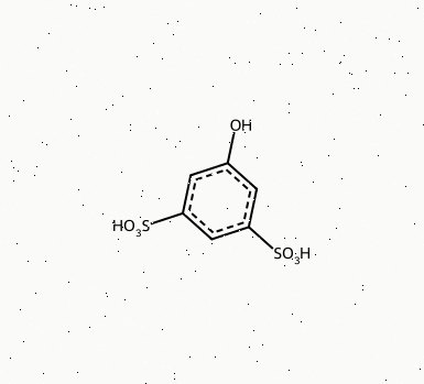 O=S(=O)(O)c1cc(O)cc(S(=O)(=O)O)c1